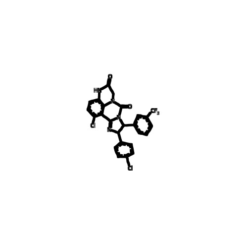 O=C1CN2C(=O)N3C(=NC(c4ccc(Cl)cc4)C3c3cccc(C(F)(F)F)c3)c3c(Cl)ccc(c32)N1